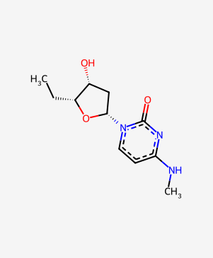 CC[C@H]1O[C@@H](n2ccc(NC)nc2=O)C[C@H]1O